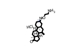 C=C1CC2C/C(=N\OCCN)CC[C@]2(C)[C@H]2CC[C@]3(C)C(=O)CC[C@H]3[C@H]12.Cl